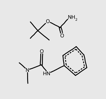 CC(C)(C)OC(N)=O.CN(C)C(=O)Nc1ccccc1